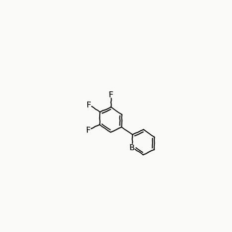 Fc1cc(-c2bcccc2)cc(F)c1F